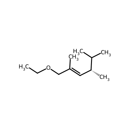 CCOC/C(C)=C/[C@@H](C)C(C)C